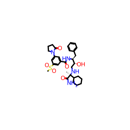 C[C@@](NC[C@@H](O)[C@H](Cc1ccccc1)NC(=O)c1cc(N2CCCC2=O)cc(S(C)(=O)=O)c1)(C(N)=O)C1CCCCC1